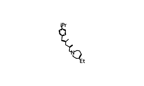 C=C(C/C(C)=C/c1ccc(C(C)C)cc1)CN1CCC=C(CC)CC1